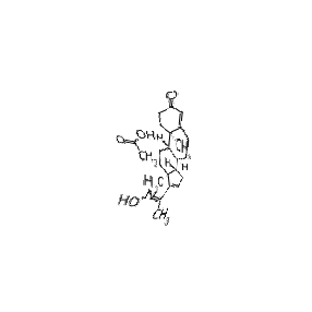 CC(=NO)C1=CC[C@H]2[C@@H]3CCC4=CC(=O)CC[C@]4(C)[C@H]3CC[C@]12C.CC(=O)O